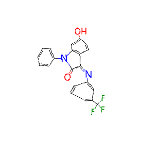 O=C1C(=Nc2cccc(C(F)(F)F)c2)c2ccc(O)cc2N1c1ccccc1